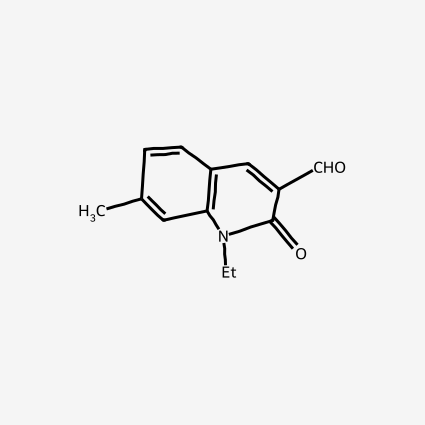 CCn1c(=O)c(C=O)cc2ccc(C)cc21